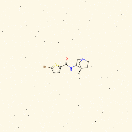 O=C(NC1CN2CC[C@H]1C2)c1ccc(Br)s1